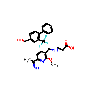 COc1nc(C(C)=N)ccc1CNCCC(=O)O.OCc1ccc(-c2ccccc2)c(C(F)(F)F)c1